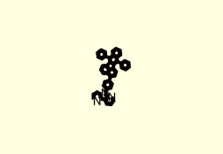 c1ccc(-c2c3c(c(-c4ccccc4)c4ccccc24)-c2ccc(-c4ccc(-n5c6cccnc6c6cccnc65)cc4)c4cccc-3c24)cc1